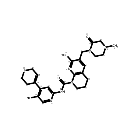 CN1CCN(Cc2cc3c(nc2C=O)N(C(=O)Nc2cc(C4=CCSCC4)c(C#N)cn2)CCC3)C(=O)C1